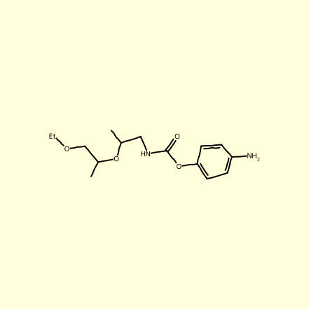 CCOCC(C)OC(C)CNC(=O)Oc1ccc(N)cc1